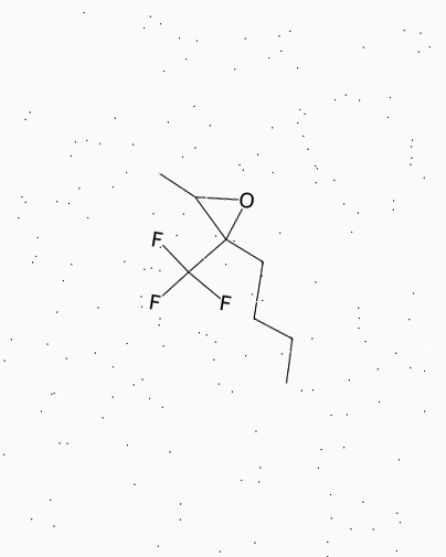 CCCCC1(C(F)(F)F)OC1C